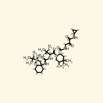 CC1CN(C(=O)[C@@H](NC(=O)NC2(CS(=O)(=O)C(C)(C)C)CCCCC2)C(C)(C)C)[C@H](C(=O)NCC(=O)C(=O)NC2CC2)CC1(C)C